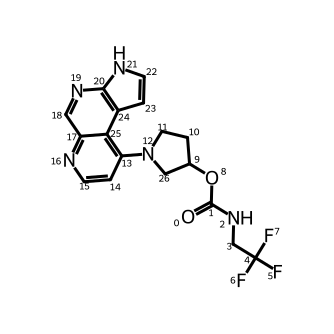 O=C(NCC(F)(F)F)OC1CCN(c2ccnc3cnc4[nH]ccc4c23)C1